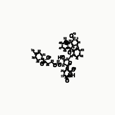 COc1cccc(C(OC[C@H]2O[C@@H](n3ccc(=O)[nH]c3=O)[C@H](OCOCCS(=O)(=O)c3ccc(C)cc3)[C@@H]2O)(c2ccccc2)c2ccccc2)c1OC